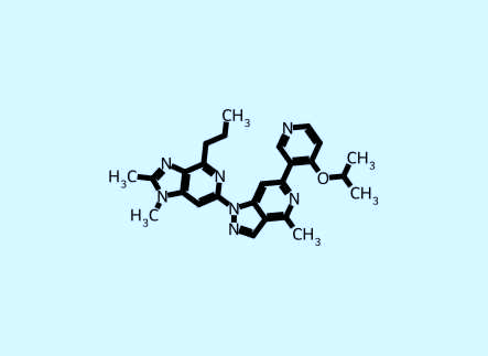 CCCc1nc(-n2ncc3c(C)nc(-c4cnccc4OC(C)C)cc32)cc2c1nc(C)n2C